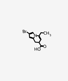 CCC1=CC(C(=O)O)Cc2cc(Br)cn21